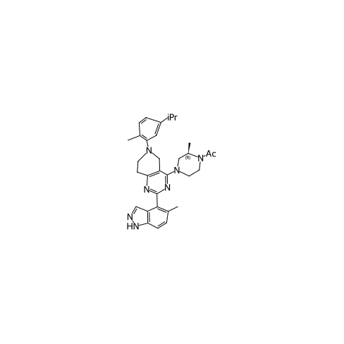 CC(=O)N1CCN(c2nc(-c3c(C)ccc4[nH]ncc34)nc3c2CN(c2cc(C(C)C)ccc2C)CC3)C[C@H]1C